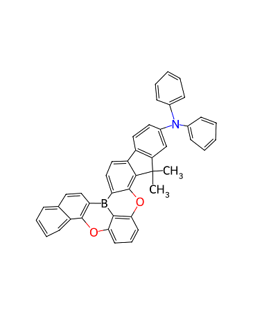 CC1(C)c2cc(N(c3ccccc3)c3ccccc3)ccc2-c2ccc3c(c21)Oc1cccc2c1B3c1ccc3ccccc3c1O2